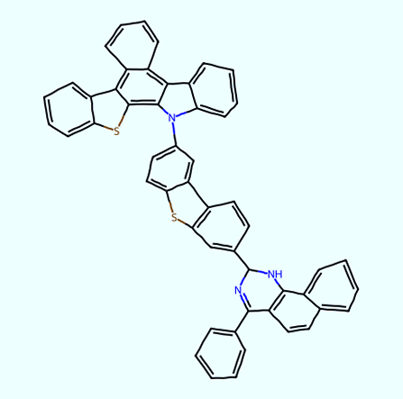 c1ccc(C2=NC(c3ccc4c(c3)sc3ccc(-n5c6ccccc6c6c7ccccc7c7c8ccccc8sc7c65)cc34)Nc3c2ccc2ccccc32)cc1